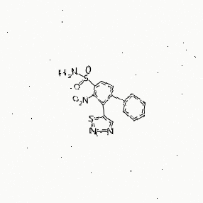 NS(=O)(=O)c1ccc(-c2ccccc2)c(-c2cnns2)c1[N+](=O)[O-]